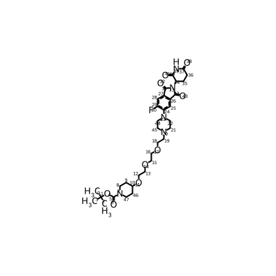 CC(C)(C)OC(=O)N1CCC(OCCOCCOCCN2CCN(c3cc4c(cc3F)C(=O)N(C3CCC(=O)NC3=O)C4=O)CC2)CC1